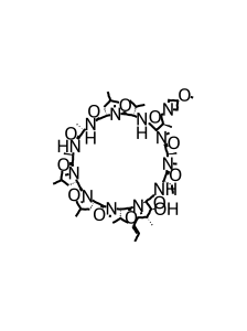 C/C=C/C[C@@H](C)[C@@H](O)[C@H]1C(=O)N[C@@H](CC)C(=O)N(C)[C@H](C)C(=O)N(C)[C@@H]([C@H](C)CN2CC(OC)C2)C(=O)N[C@@H](C(C)C)C(=O)N(C)[C@@H](CC(C)C)C(=O)N[C@@H](C)C(=O)N[C@H](C)C(=O)N(C)[C@@H](CC(C)C)C(=O)N(C)[C@@H](CC(C)C)C(=O)N(C)[C@@H](C(C)C)C(=O)N1C